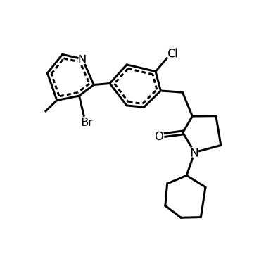 Cc1ccnc(-c2ccc(CC3CCN(C4CCCCC4)C3=O)c(Cl)c2)c1Br